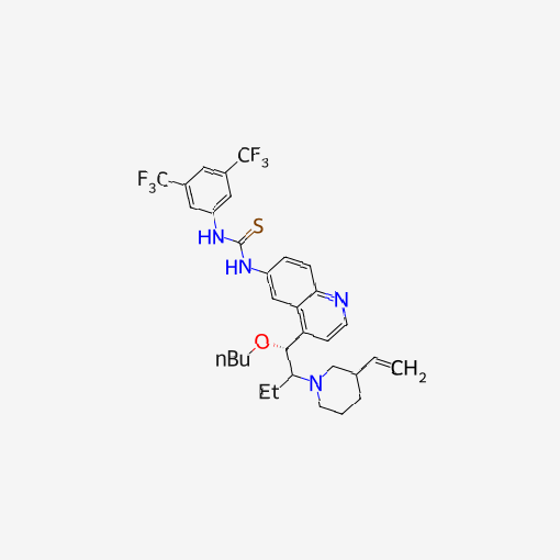 C=CC1CCCN(C(CC)[C@H](OCCCC)c2ccnc3ccc(NC(=S)Nc4cc(C(F)(F)F)cc(C(F)(F)F)c4)cc23)C1